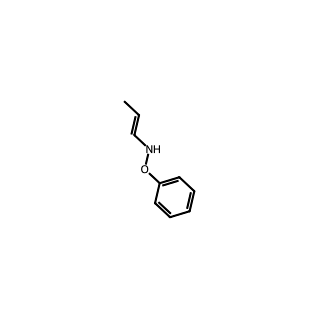 CC=CNOc1ccccc1